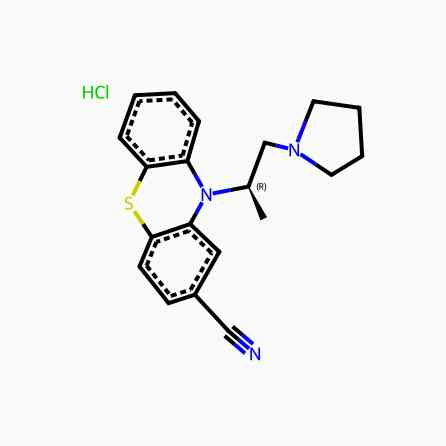 C[C@H](CN1CCCC1)N1c2ccccc2Sc2ccc(C#N)cc21.Cl